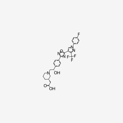 O=C(O)C[C@H]1CCCN(C[C@@H](O)c2ccc(-c3noc(-c4cn(-c5ccc(F)cc5)nc4C(F)(F)F)n3)cc2)C1